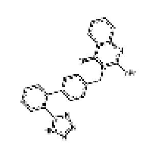 CCCc1nc2ccccc2c(=O)n1Cc1ccc(-c2ccccc2-c2nnn[nH]2)cc1